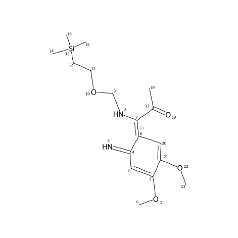 COC1=CC(=N)/C(=C(\NCOCC[Si](C)(C)C)C(C)=O)C=C1OC